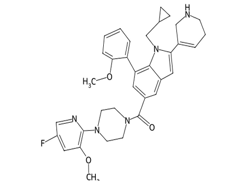 COc1ccccc1-c1cc(C(=O)N2CCN(c3ncc(F)cc3OC)CC2)cc2cc(C3=CCCNC3)n(CC3CC3)c12